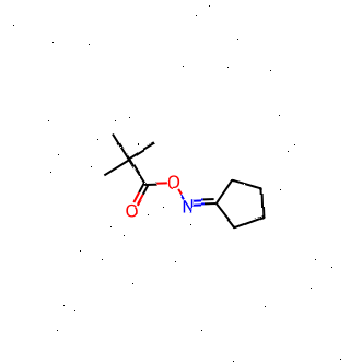 CC(C)(C)C(=O)ON=C1CCCC1